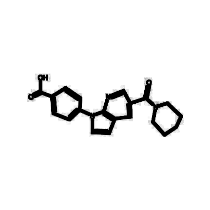 O=C(O)c1ccc(-n2ccc3cc(C(=O)N4CCCCC4)cnc32)cc1